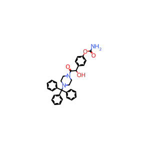 NC(=O)Oc1ccc(C(O)C(=O)N2CCN(C(c3ccccc3)(c3ccccc3)c3ccccc3)CC2)cc1